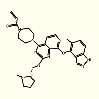 C=CC(=O)N1CCN(c2nc(OC[C@@H]3CCCN3C)nc3c(Oc4c(C)ccc5[nH]ncc45)nccc23)CC1